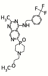 COCCN1CCP(=O)(c2cc3c(NCc4cccc(C(F)(F)F)c4)nc(C)nc3cn2)CC1